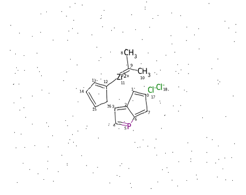 C1=CC2=CC=PC2=C1.C[C](C)=[Zr+2][C]1=CC=CC1.[Cl-].[Cl-]